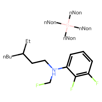 CCCCC(CC)CC[NH+](CF)c1cccc(F)c1F.CCCCCCCCC[B-](CCCCCCCCC)(CCCCCCCCC)CCCCCCCCC